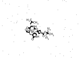 CC(C)C[C@H](NC(=O)OC1(C)CN(C(=O)OC(C)(C)C)C1)C(=O)N[C@H](C=O)C[C@H]1CCNC1=O